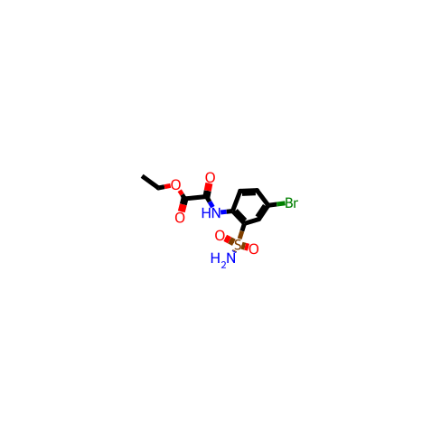 CCOC(=O)C(=O)Nc1ccc(Br)cc1S(N)(=O)=O